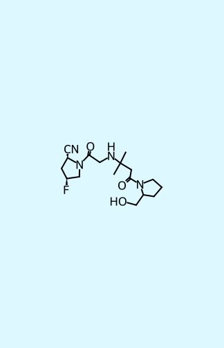 CC(C)(CC(=O)N1CCCC1CO)NCC(=O)N1C[C@@H](F)C[C@H]1C#N